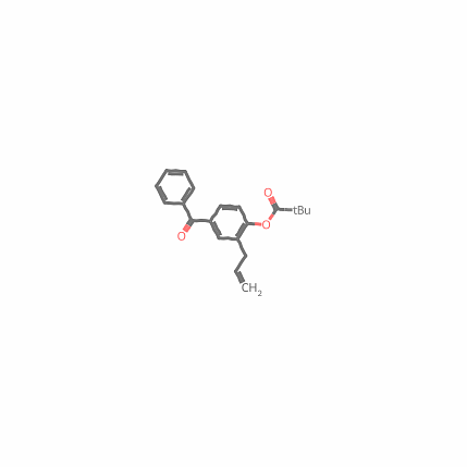 C=CCc1cc(C(=O)c2ccccc2)ccc1OC(=O)C(C)(C)C